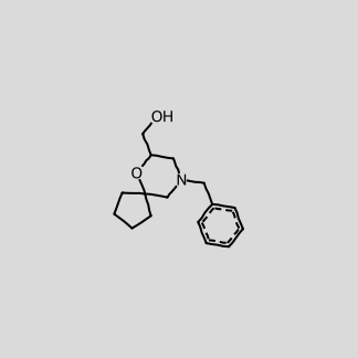 OCC1CN(Cc2ccccc2)CC2(CCCC2)O1